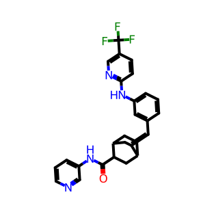 O=C(Nc1cccnc1)C1CC2CCC1C/C2=C\c1cccc(Nc2ccc(C(F)(F)F)cn2)c1